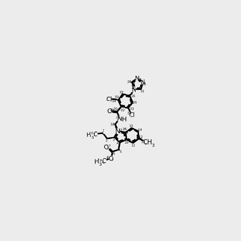 CCCc1c(CC(=O)OC)c2cc(C)ccc2n1CNC(=O)c1c(Cl)cc(-n2cnnc2)cc1Cl